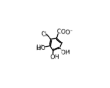 O=C([O-])c1cc(O)c(O)c(O)c1Cl.[Li+]